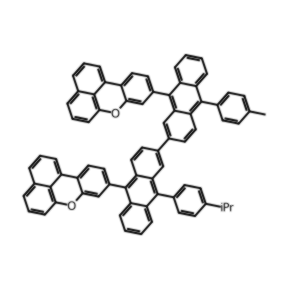 Cc1ccc(-c2c3ccccc3c(-c3ccc4c(c3)Oc3cccc5cccc-4c35)c3cc(-c4ccc5c(-c6ccc7c(c6)Oc6cccc8cccc-7c68)c6ccccc6c(-c6ccc(C(C)C)cc6)c5c4)ccc23)cc1